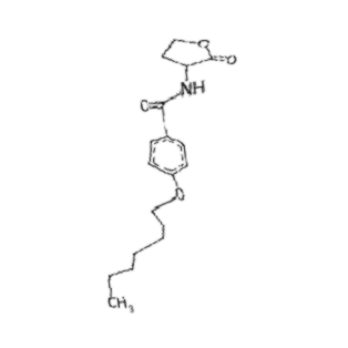 CCCCCCOc1ccc(C(=O)NC2CCOC2=O)cc1